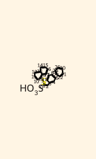 O=S(=O)(O)c1cc2ccccc2s1.c1ccc2ccccc2c1.c1ccccc1